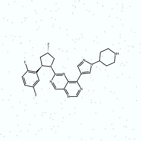 Fc1ccc(F)c([C@H]2C[C@H](F)CN2c2ncc3ncnc(-c4cnn(C5CCNCC5)c4)c3n2)c1